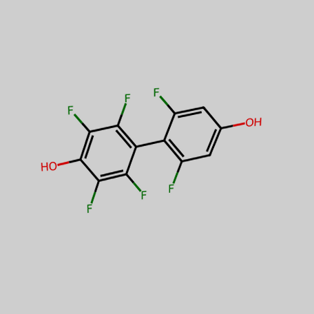 Oc1cc(F)c(-c2c(F)c(F)c(O)c(F)c2F)c(F)c1